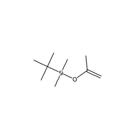 C=C(C)O[Si](C)(C)C(C)(C)C